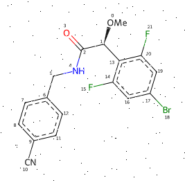 CO[C@H](C(=O)NCc1ccc(C#N)cc1)c1c(F)cc(Br)cc1F